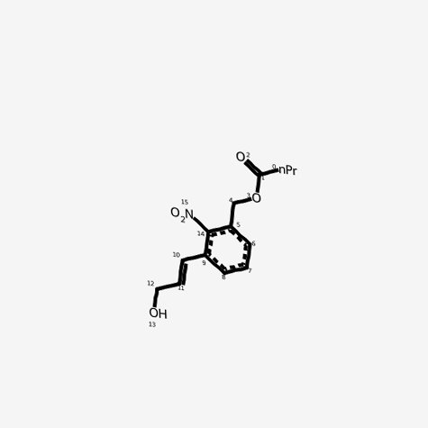 CCCC(=O)OCc1cccc(/C=C/CO)c1[N+](=O)[O-]